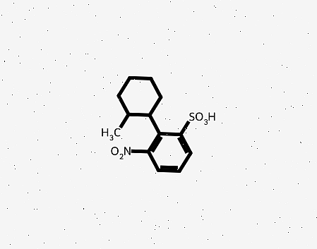 CC1CCCCC1c1c([N+](=O)[O-])cccc1S(=O)(=O)O